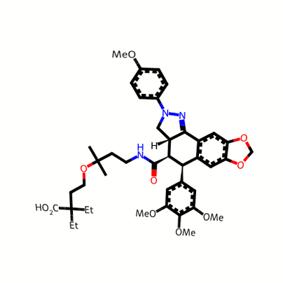 CCC(CC)(CCOC(C)(C)CCNC(=O)[C@@H]1[C@H](c2cc(OC)c(OC)c(OC)c2)c2cc3c(cc2C2=NN(c4ccc(OC)cc4)C[C@H]21)OCO3)C(=O)O